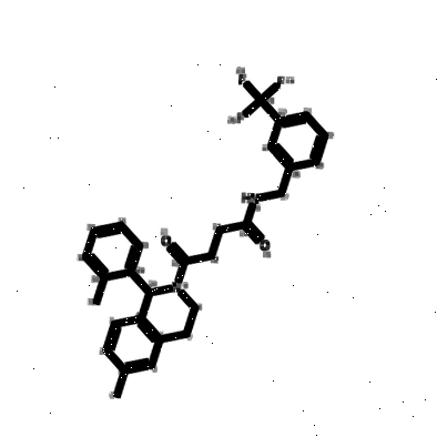 Cc1ccc2c(c1)CCN(C(=O)CCC(=O)NCc1cccc(C(F)(F)F)c1)C2c1ccccc1C